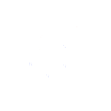 Cc1nc(N2CCOCC2)c2c(nc[s+]2[O-])n1